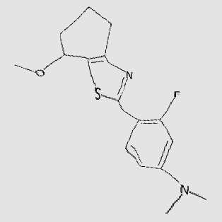 COC1CCCc2nc(-c3ccc(N(C)C)cc3F)sc21